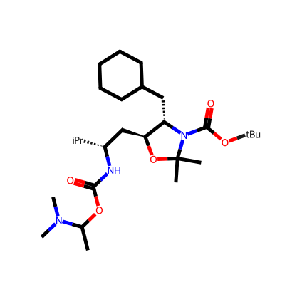 CC(C)[C@H](C[C@@H]1OC(C)(C)N(C(=O)OC(C)(C)C)[C@H]1CC1CCCCC1)NC(=O)OC(C)N(C)C